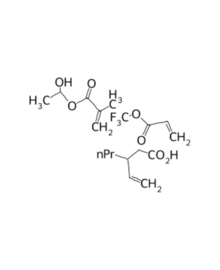 C=C(C)C(=O)OC(C)O.C=CC(=O)OC(F)(F)F.C=CC(CCC)CC(=O)O